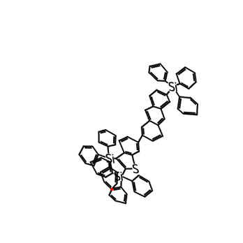 c1ccc([Si](c2ccccc2)(c2ccccc2)c2ccc3cc4cc(-c5ccc6c([Si](c7ccccc7)(c7ccccc7)c7ccccc7)c([Si](c7ccccc7)(c7ccccc7)c7ccccc7)sc6c5)ccc4cc3c2)cc1